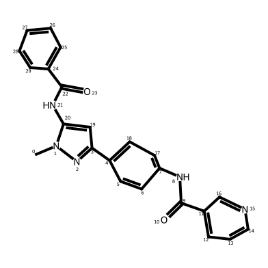 Cn1nc(-c2ccc(NC(=O)c3cccnc3)cc2)cc1NC(=O)c1ccccc1